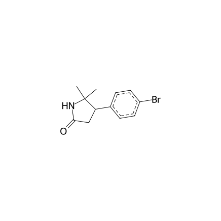 CC1(C)NC(=O)CC1c1ccc(Br)cc1